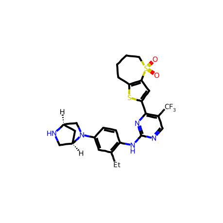 CCc1cc(N2C[C@H]3C[C@@H]2CN3)ccc1Nc1ncc(C(F)(F)F)c(-c2cc3c(s2)CCCCS3(=O)=O)n1